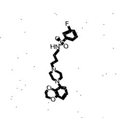 O=S(=O)(NCCCCN1CCN(c2cccc3c2OCCO3)CC1)c1cccc(F)c1